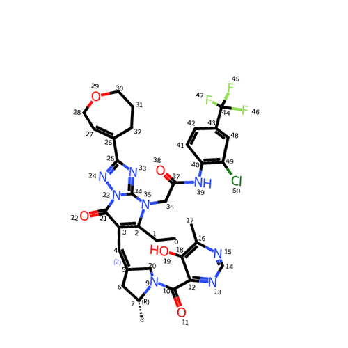 CCc1c(/C=C2/C[C@@H](C)N(C(=O)c3ncnc(C)c3O)C2)c(=O)n2nc(C3=CCOCCC3)nc2n1CC(=O)Nc1ccc(C(F)(F)F)cc1Cl